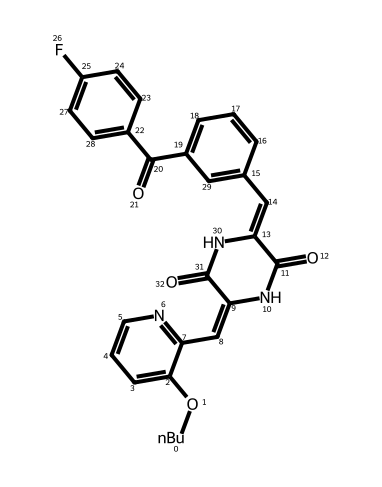 CCCCOc1cccnc1C=c1[nH]c(=O)c(=Cc2cccc(C(=O)c3ccc(F)cc3)c2)[nH]c1=O